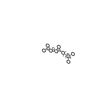 Cc1cc(-n2c3ccccc3c3c4oc5c(ccc6c5c5ccccc5n6-c5ccccc5)c4ccc32)cc(C)c1-c1nc(-c2ccccc2)nc(-c2ccccc2)n1